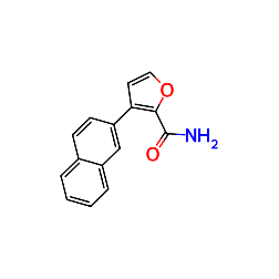 NC(=O)c1occc1-c1ccc2ccccc2c1